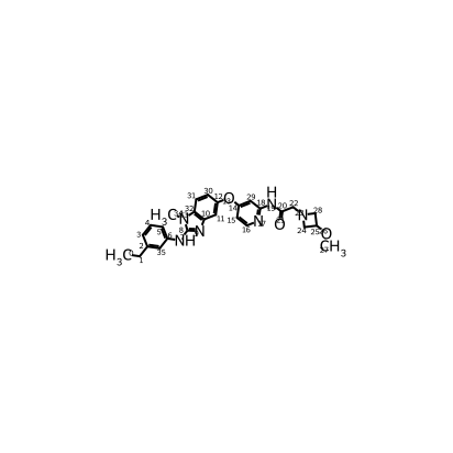 CCc1cccc(Nc2nc3cc(Oc4ccnc(NC(=O)CN5CC(OC)C5)c4)ccc3n2C)c1